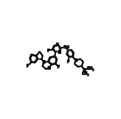 CN(C)C1CCN(c2ccc(Nc3ncc(F)c(-c4cc(F)c5c(c4)N(C4CCc6ccc(F)cc64)CCO5)n3)cc2F)CC1